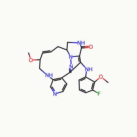 COc1c(F)cccc1Nc1c2nn3c1C(=O)NCC3C/C=C/C(OC)CNc1cnccc1-2